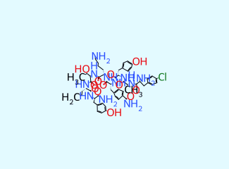 C=CC[C@H](NC(=O)C(NC(=O)[C@H](CCCCN)NC(=O)[C@@H](Cc1ccc(C(N)=O)cc1)NC(=O)[C@H](Cc1ccc(O)cc1)NC(=O)[C@H](C)NC(=O)[C@@H](N)Cc1ccc(Cl)cc1)C(C)O)C(=O)N[C@H](Cc1ccc(O)cc1)C(N)=O